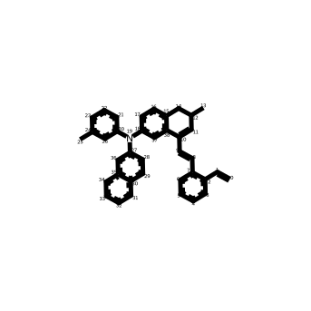 C=Cc1ccccc1/C=C/C1=CC(C)Cc2ccc(N(c3cccc(C)c3)c3ccc4ccccc4c3)cc21